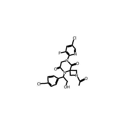 CC(=O)N1CC2(C1)C(=O)N(c1ncc(Cl)cc1F)CC(=O)N2C(CO)c1ccc(Cl)cc1